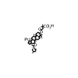 CC(C)C1CC[C@]2(CC(=O)N3CC[C@@H](C)C3)CC[C@]3(C)[C@H](CC[C@@H]4[C@@]5(C)CC[C@H](OC(=O)CC(C)(C)C(=O)O)C(C)(C)[C@@H]5CC[C@]43C)[C@@H]12